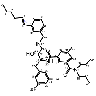 CCCC/C=C/c1cccc(CNC[C@@H](O)[C@H](Cc2cc(F)cc(F)c2)NC(=O)c2cc(C)cc(C(=O)N(CCC)CCC)c2)c1